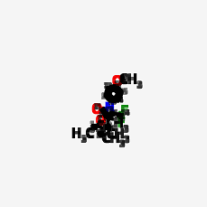 CC[Si](CC)(CC)O[C@@]1(C)C(=O)N(c2ccc(OC)cc2)[C@H]1C(F)F